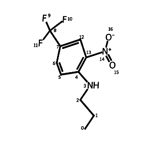 CCCNc1ccc(C(F)(F)F)cc1[N+](=O)[O-]